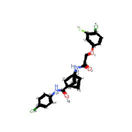 O=C(COc1ccc(Cl)c(F)c1)NC12CCC(C(=O)Nc3ccc(Cl)cc3)(C1)C2